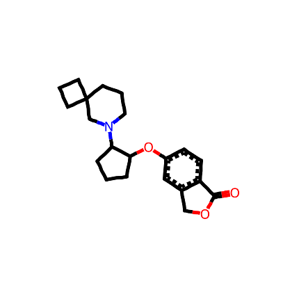 O=C1OCc2cc(OC3CCCC3N3CCCC4(CCC4)C3)ccc21